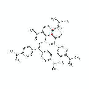 Cc1ccc(C(N)=O)c(C(C=C(c2ccc(N(C)C)cc2)c2ccc(N(C)C)cc2)C=C(c2ccc(N(C)C)cc2)c2ccc(N(C)C)cc2)c1